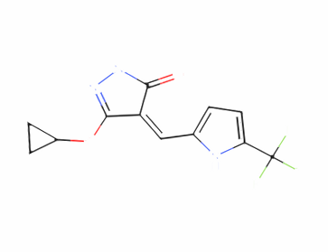 O=C1NN=C(OC2CC2)/C1=C/c1ccc(C(F)(F)F)[nH]1